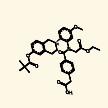 CCOC(=O)CN(C(=O)c1ccc(CC(=O)O)cc1)c1cc(OC)ccc1[C@@H]1CCc2cc(OC(=O)C(C)(C)C)ccc2C1